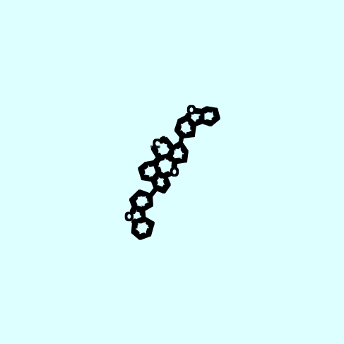 c1ccc2c(c1)oc1ccc(-c3ccc4oc5ccc(-c6ccc7oc8ccccc8c7c6)c6cccc(c7cccc3c47)c56)cc12